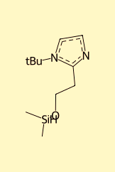 C[SiH](C)OCCc1nccn1C(C)(C)C